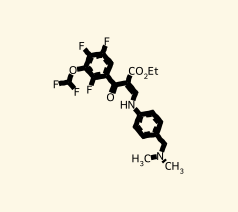 CCOC(=O)C(=CNc1ccc(CN(C)C)cc1)C(=O)c1cc(F)c(F)c(OC(F)F)c1F